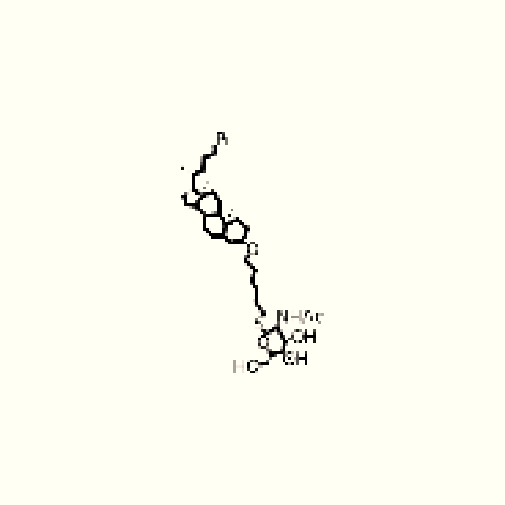 CC(=O)N[C@@H]1[C@@H](O)[C@H](O)[C@@H](CO)O[C@H]1SCCCCCCO[C@H]1CC[C@@]2(C)C(=CCC3C2CC[C@@]2(C)C3CC[C@@H]2[C@H](C)CCCC(C)C)C1